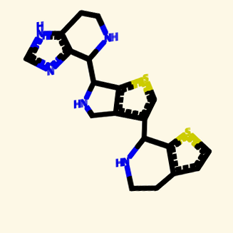 c1nc2c([nH]1)CCNC2C1NCc2c(C3NCCc4ccsc43)csc21